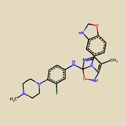 CC1=C2NOC(Nc3ccc(N4CCN(C)CC4)c(F)c3)(N=C1)N2c1ccc2c(c1)NCO2